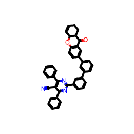 N#Cc1c(-c2ccccc2)nc(-c2cccc(-c3cccc(-c4ccc5c(c4)C(=O)C4CCC=CC4O5)c3)c2)nc1-c1ccccc1